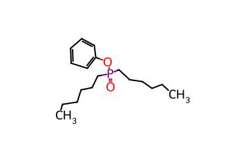 CCCCCCP(=O)(CCCCCC)Oc1ccccc1